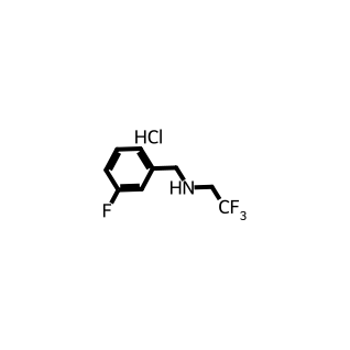 Cl.Fc1cccc(CNCC(F)(F)F)c1